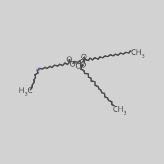 CCCCCCCC/C=C\CCCCCCCCCCCC(=O)OC[C@@H](COC(=O)CCCCCCCCCCCCCCCCCCC)OC(=O)CCCCCCCCCCCCCCCCCCCCC